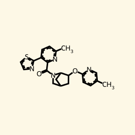 Cc1ccc(OC2CC3CC2N(C(=O)c2nc(C)ccc2-c2nccs2)C3)nc1